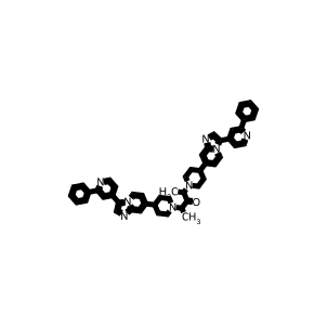 CC(C(=O)C(C)N1CCC(c2ccn3c(-c4ccnc(-c5ccccc5)c4)cnc3c2)CC1)N1CCC(c2ccn3c(-c4ccnc(-c5ccccc5)c4)cnc3c2)CC1